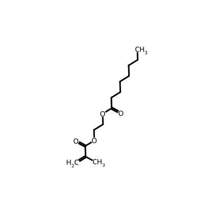 C=C(C)C(=O)OCCOC(=O)CCCCCCC